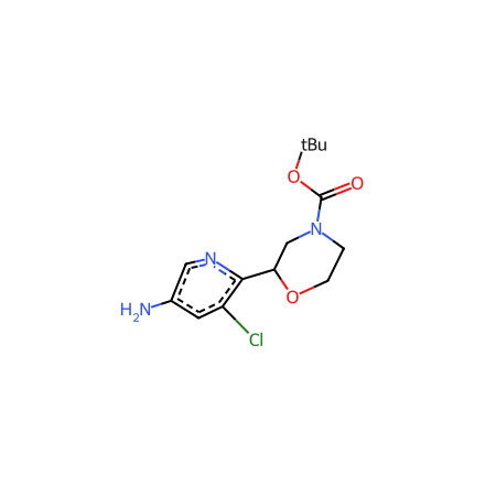 CC(C)(C)OC(=O)N1CCOC(c2ncc(N)cc2Cl)C1